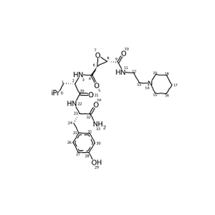 CC(C)C[C@H](NC(=O)[C@H]1O[C@@H]1C(=O)NCCN1CCCCC1)C(=O)N[C@@H](Cc1ccc(O)cc1)C(N)=O